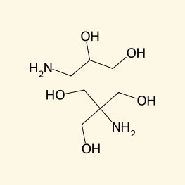 NC(CO)(CO)CO.NCC(O)CO